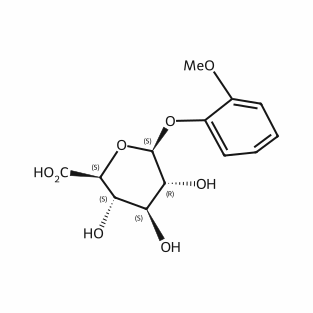 COc1ccccc1O[C@@H]1O[C@H](C(=O)O)[C@@H](O)[C@H](O)[C@H]1O